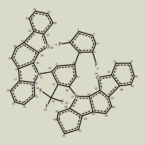 Fc1cccc(F)c1-c1cc(-n2c3ccccc3c3ccc4c5ccccc5oc4c32)c(C(F)(F)F)c(-n2c3ccccc3c3ccc4c5ccccc5oc4c32)c1